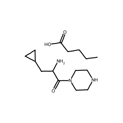 CCCCC(=O)O.NC(CC1CC1)C(=O)N1CCNCC1